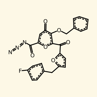 [N-]=[N+]=NC(=O)c1cc(=O)c(OCc2ccccc2)c(C(=O)c2ccc(Cc3ccc(F)cc3)o2)o1